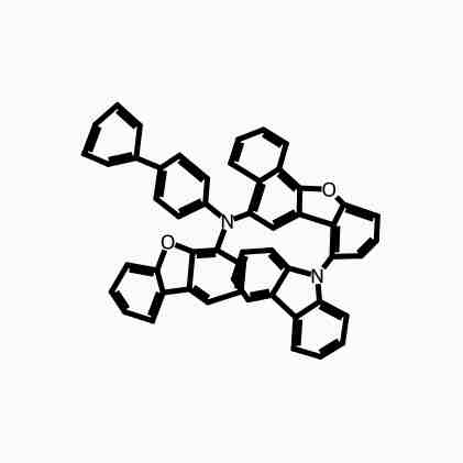 c1ccc(-c2ccc(N(c3cc4c(oc5cccc(-n6c7ccccc7c7ccccc76)c54)c4ccccc34)c3cccc4c3oc3ccccc34)cc2)cc1